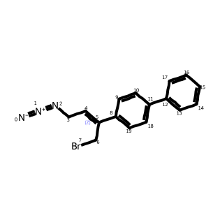 [N-]=[N+]=NC/C=C(\CBr)c1ccc(-c2ccccc2)cc1